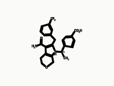 C[C@H](c1ccc(C(=O)O)cc1)[SH]1C2=C(CCOC2)C(C(N)=O)=C1Cc1cccc(C(F)(F)F)c1